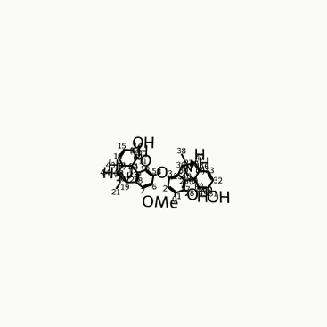 COc1cc(Oc2ccc3c4c2O[C@H]2[C@@H](O)C=C[C@H]5[C@@H](C3)N(C)CC[C@@]452)c2c3c1O[C@H]1[C@@H](O)C=C[C@H]4[C@@H](C2)N(C)CC[C@@]341